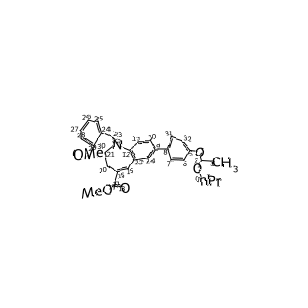 CCCOC(C)Oc1ccc(-c2ccc3c(c2)C=C(C(=O)OC)CCN3Cc2ccccc2OC)cc1